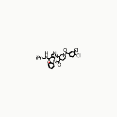 CC(C)CNC(=O)c1cnn2c3c(c(=O)n(-c4ccccc4)c12)CCN(C(=O)c1ccc(Cl)c(Cl)c1)C3